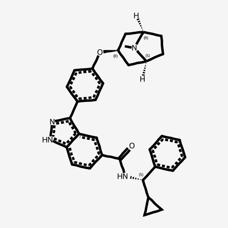 CN1[C@@H]2CC[C@H]1C[C@@H](Oc1ccc(-c3n[nH]c4ccc(C(=O)N[C@H](c5ccccc5)C5CC5)cc34)cc1)C2